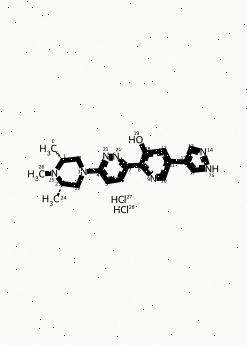 C[C@@H]1CN(c2ccc(-c3ncc(-c4cn[nH]c4)cc3O)nn2)C[C@H](C)N1C.Cl.Cl